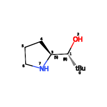 CC(C)(C)[C@@H](O)[C@@H]1CCCN1